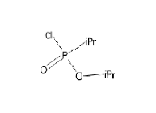 CC(C)OP(=O)(Cl)C(C)C